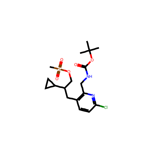 CC(C)(C)OC(=O)NCc1nc(Cl)ccc1CC(COS(C)(=O)=O)C1CC1